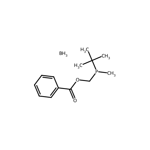 B.CP(COC(=O)c1ccccc1)C(C)(C)C